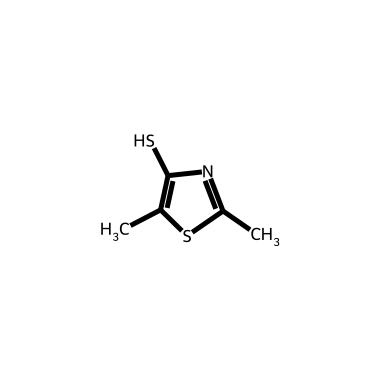 Cc1nc(S)c(C)s1